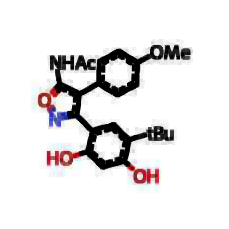 COc1ccc(-c2c(-c3cc(C(C)(C)C)c(O)cc3O)noc2NC(C)=O)cc1